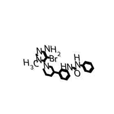 CN1C=NC(N)=C(Br)C1N1CCCC(c2cccc(NC(=O)Nc3ccccc3)c2)C1